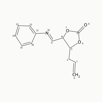 C=CCC1OC(=O)OC1C=Nc1ccccc1